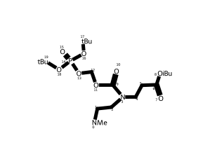 CNCCN(CCC(=O)OCC(C)C)C(=O)OCOP(=O)(OC(C)(C)C)OC(C)(C)C